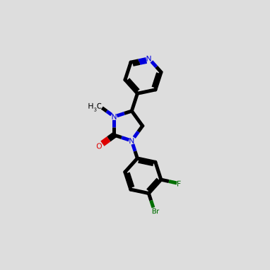 CN1C(=O)N(c2ccc(Br)c(F)c2)CC1c1ccncc1